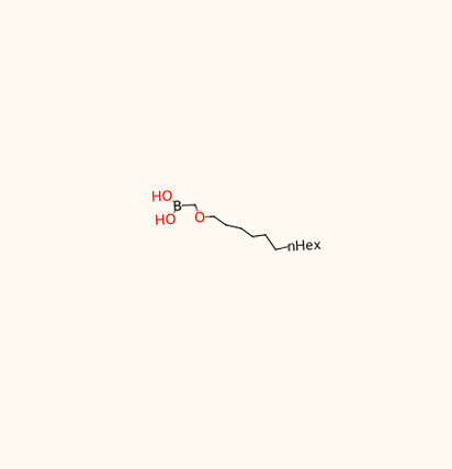 CCCCCCCCCCCCOCB(O)O